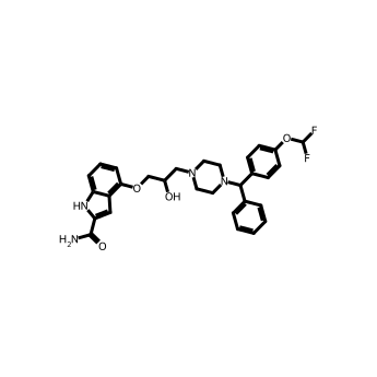 NC(=O)c1cc2c(OCC(O)CN3CCN(C(c4ccccc4)c4ccc(OC(F)F)cc4)CC3)cccc2[nH]1